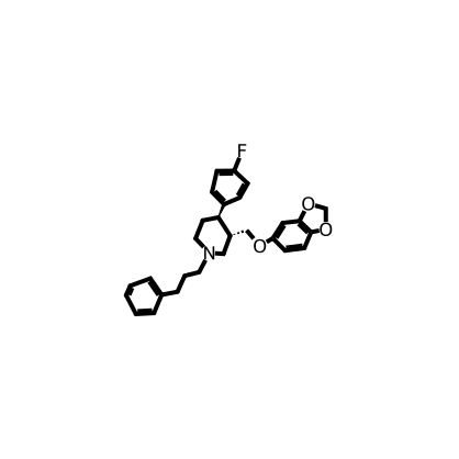 Fc1ccc([C@@H]2CCN(CCCc3ccccc3)C[C@H]2COc2ccc3c(c2)OCO3)cc1